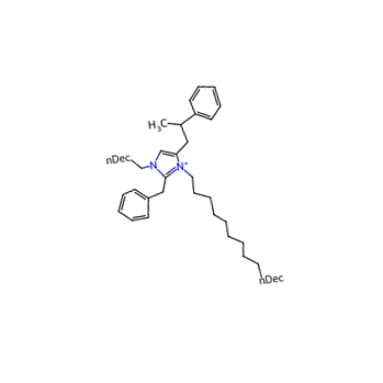 CCCCCCCCCCCCCCCCCCC[n+]1c(CC(C)c2ccccc2)cn(CCCCCCCCCCC)c1Cc1ccccc1